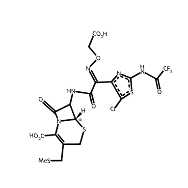 CSCC1=C(C(=O)O)N2C(=O)C(NC(=O)C(=NOCC(=O)O)c3nc(NC(=O)C(F)(F)F)sc3Cl)[C@@H]2SC1